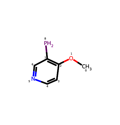 COc1ccncc1P